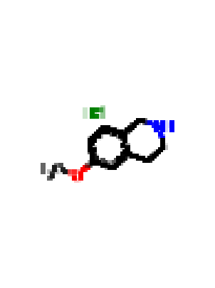 Cl.FC(F)(F)Oc1ccc2c(c1)CCNC2